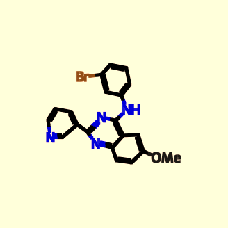 COc1ccc2nc(-c3cccnc3)nc(Nc3cccc(Br)c3)c2c1